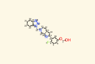 OCOc1ccc(F)c(-c2cc3ccn(Cn4nnc5ccccc54)cc-3n2)c1